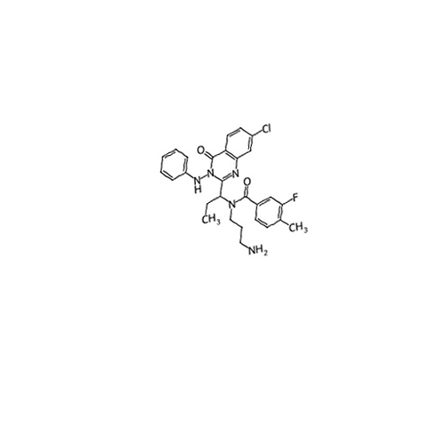 CCC(c1nc2cc(Cl)ccc2c(=O)n1Nc1ccccc1)N(CCCN)C(=O)c1ccc(C)c(F)c1